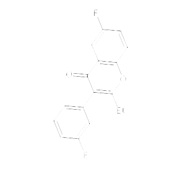 CCc1oc2ccc(F)cc2c(=O)c1-c1cccc(F)c1